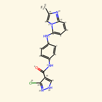 O=C(Nc1ccc(Nc2cccc3nc(C(F)(F)F)cn23)cc1)c1c[nH]nc1Cl